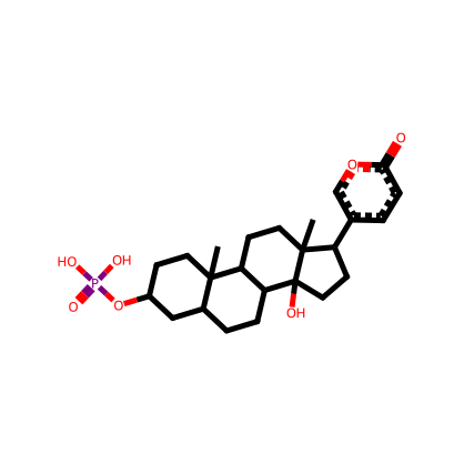 CC12CCC(OP(=O)(O)O)CC1CCC1C2CCC2(C)C(c3ccc(=O)oc3)CCC12O